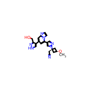 CO[C@H]1C[C@@](CC#N)(n2cc(-c3cc(-c4c[nH]nc4CO)cc4nccn34)cn2)C1